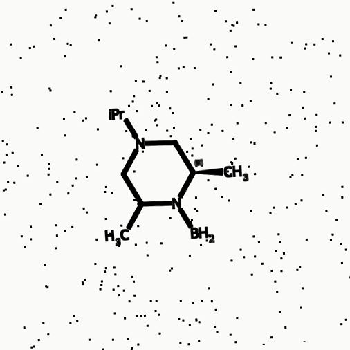 BN1C(C)CN(C(C)C)C[C@H]1C